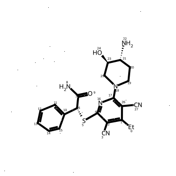 CCc1c(C#N)c(S[C@@H](C(N)=O)c2ccccc2)nc(N2CC[C@@H](N)[C@H](O)C2)c1C#N